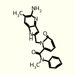 Cc1cc2[nH]c(Cn3c(C(=O)N(C)c4ccccc4)cccc3=O)cc2nc1N